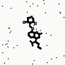 C=C/C=C(/c1cc(C)nc2c(OCc3c(Cl)cncc3Cl)cccc12)N(C)C